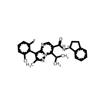 Cc1nn2c(C(C)C)c(C(=O)N[C@H]3CCc4ccccc43)cnc2c1-c1c(F)cccc1Cl